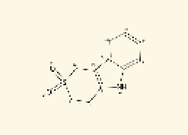 O=S1(=O)CCc2[nH]c3ccccc3c2C1